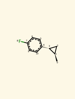 C[C@@H]1C[C@H]1c1ccc(F)cc1